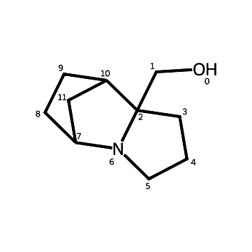 OCC12CCCN1C1CCC2C1